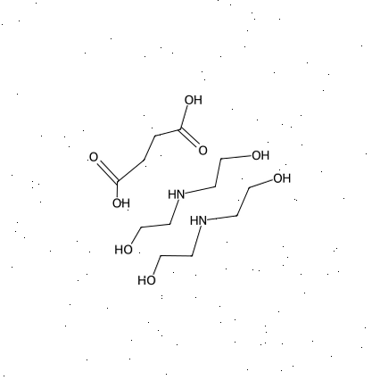 O=C(O)CCC(=O)O.OCCNCCO.OCCNCCO